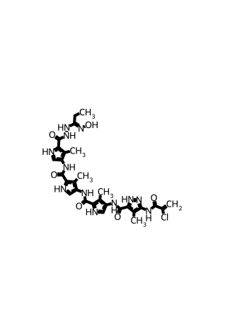 C=C(Cl)C(=O)Nc1n[nH]c(C(=O)Nc2c[nH]c(C(=O)Nc3c[nH]c(C(=O)Nc4c[nH]c(C(=O)NNC(CC)=NO)c4C)c3C)c2C)c1C